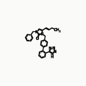 CCC=Cc1cn(Cc2ccccc2)c(=O)n1Cc1ccc(-c2ccccc2-c2nnn[nH]2)cc1